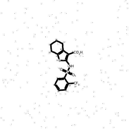 O=C(O)c1c(NS(=O)(=O)c2ccccc2C(F)(F)F)sc2c1CCCC2